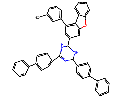 N#Cc1cccc(-c2cc(C3NC(c4ccc(-c5ccccc5)cc4)=NC(c4ccc(-c5ccccc5)cc4)N3)cc3oc4ccccc4c23)c1